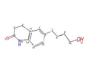 O=C1CCc2cc(CCCCO)ccc2N1